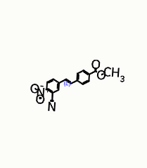 COC(=O)c1ccc(/C=C/c2ccc([N+](=O)[O-])c(C#N)c2)cc1